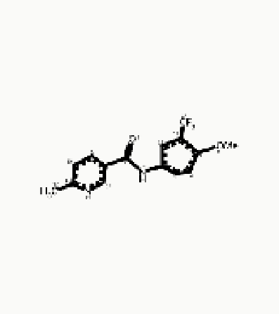 COc1ccc(NC(=O)c2ccc(C)nc2)cc1C(F)(F)F